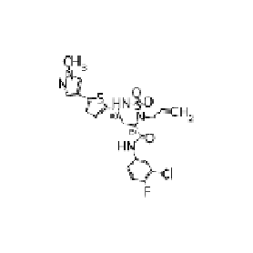 C=CCN1[C@H](C(=O)Nc2ccc(F)c(Cl)c2)C[C@H](c2ccc(-c3cnn(C)c3)s2)NS1(=O)=O